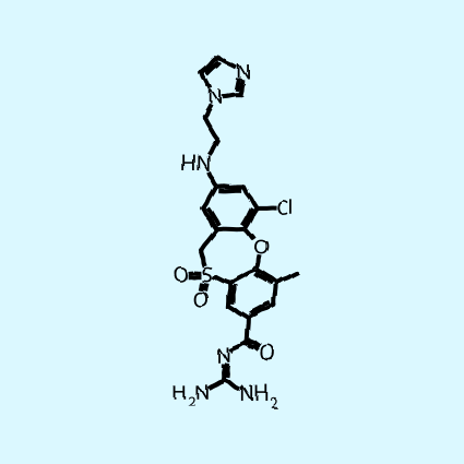 Cc1cc(C(=O)N=C(N)N)cc2c1Oc1c(Cl)cc(NCCn3ccnc3)cc1CS2(=O)=O